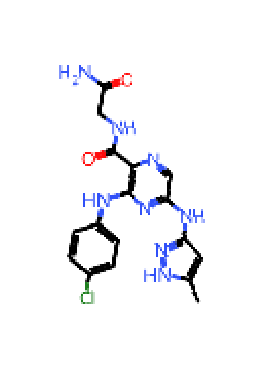 Cc1cc(Nc2cnc(C(=O)NCC(N)=O)c(Nc3ccc(Cl)cc3)n2)n[nH]1